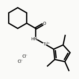 CC1=CC(C)[C]([Ti+2][NH]C(=O)C2CCCCC2)=C1C.[Cl-].[Cl-]